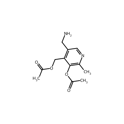 CC(=O)OCc1c(CN)cnc(C)c1OC(C)=O